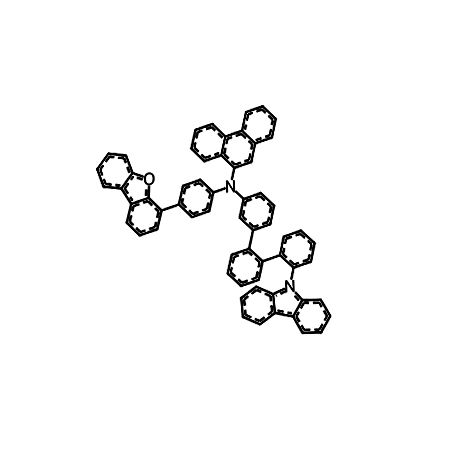 c1cc(-c2ccccc2-c2ccccc2-n2c3ccccc3c3ccccc32)cc(N(c2ccc(-c3cccc4c3oc3ccccc34)cc2)c2cc3ccccc3c3ccccc23)c1